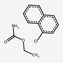 CCOC(N)=O.Clc1cccc2ccccc12